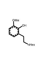 CCCCCCCCc1cccc(OC)c1O